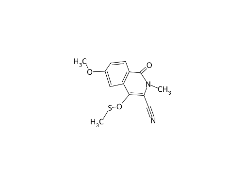 COc1ccc2c(=O)n(C)c(C#N)c(OSC)c2c1